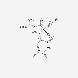 C[C@@H](O)[C@H]1O[C@@H](n2cc(F)c(=O)[nH]c2=O)[C@@](Cl)(C#CCl)C1O